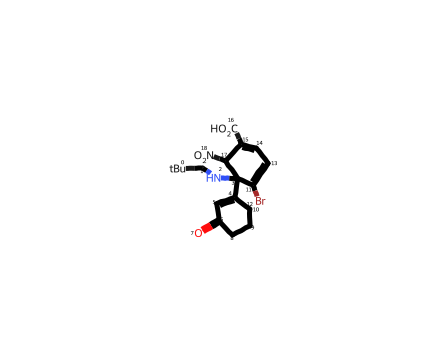 CC(C)(C)CNC1(C2=CC(=O)CCC2)C(Br)=CC=C(C(=O)O)C1[N+](=O)[O-]